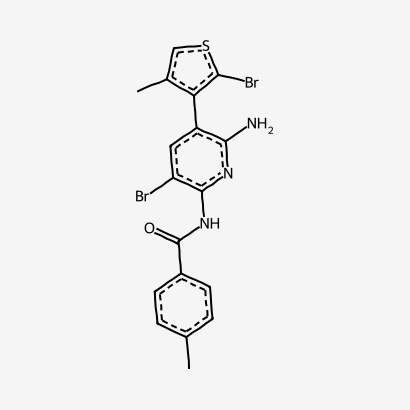 Cc1ccc(C(=O)Nc2nc(N)c(-c3c(C)csc3Br)cc2Br)cc1